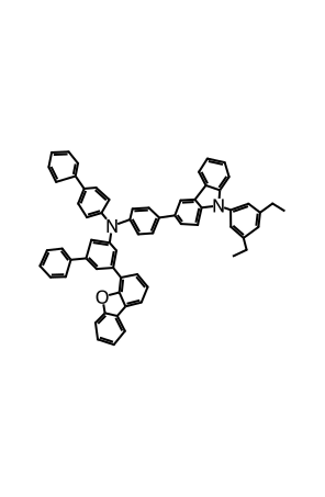 CCc1cc(CC)cc(-n2c3ccccc3c3cc(-c4ccc(N(c5ccc(-c6ccccc6)cc5)c5cc(-c6ccccc6)cc(-c6cccc7c6oc6ccccc67)c5)cc4)ccc32)c1